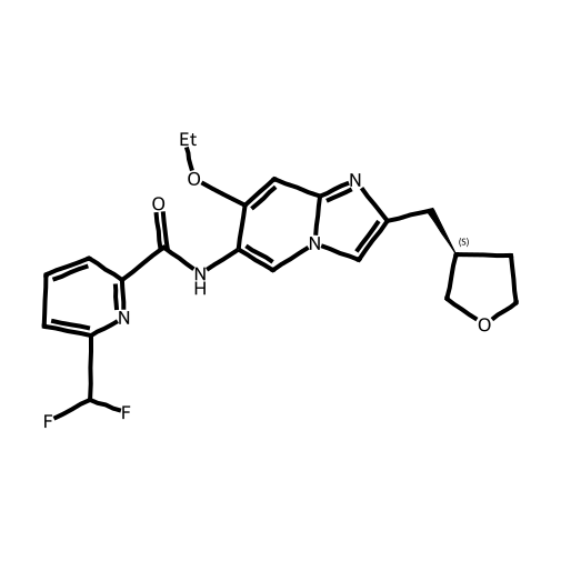 CCOc1cc2nc(C[C@H]3CCOC3)cn2cc1NC(=O)c1cccc(C(F)F)n1